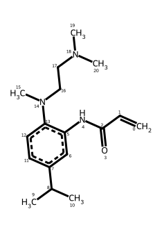 C=CC(=O)Nc1cc(C(C)C)ccc1N(C)CCN(C)C